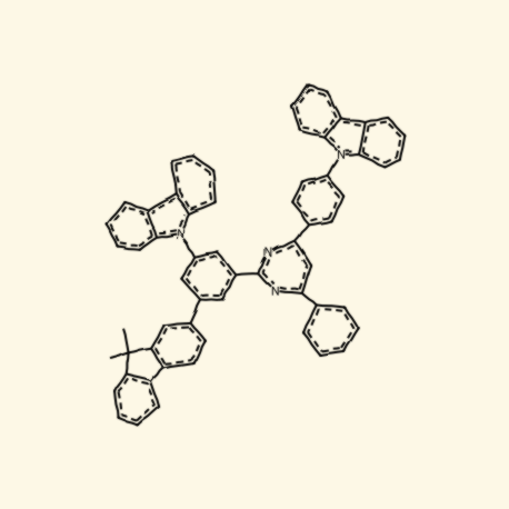 CC1(C)c2ccccc2-c2ccc(-c3cc(-c4nc(-c5ccccc5)cc(-c5ccc(-n6c7ccccc7c7ccccc76)cc5)n4)cc(-n4c5ccccc5c5ccccc54)c3)cc21